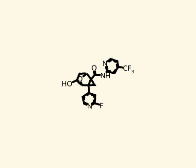 O=C(Nc1cc(C(F)(F)F)ccn1)C12CC1(c1ccnc(F)c1)C1OC2CC1O